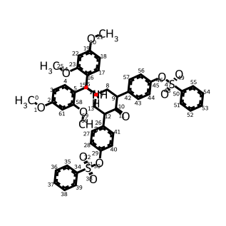 COc1ccc(CNCC(C(=O)C(CNCc2ccc(OC)cc2OC)c2ccc(OS(=O)(=O)c3ccccc3)cc2)c2ccc(OS(=O)(=O)c3ccccc3)cc2)c(OC)c1